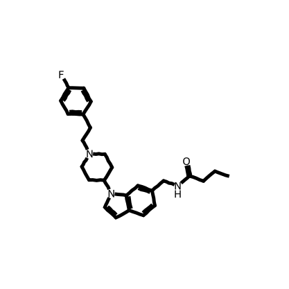 CCCC(=O)NCc1ccc2ccn(C3CCN(CCc4ccc(F)cc4)CC3)c2c1